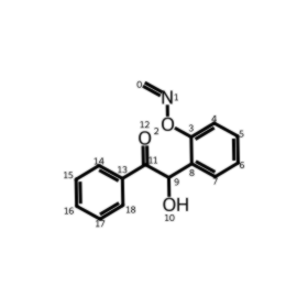 C=NOc1ccccc1C(O)C(=O)c1ccccc1